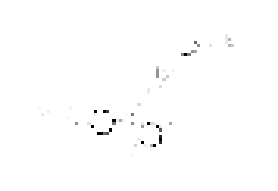 CCOC(=O)/C=C/CNCCCCN1c2ccc(COC)cc2CCc2ccc(Cl)cc21